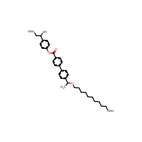 CCCCCCCCCCCCCCCCCCCCOC(C)c1ccc(-c2ccc(C(=O)Oc3ccc(C(CCC)CCCCCCCCCCC)cc3)cc2)cc1